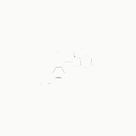 COc1ccc(CN2CC3CNCCN3C2=O)cc1.Cl